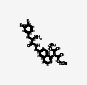 CC(C)(C)OC(=O)N(C(=O)OC(C)(C)C)c1nccc2cc(CNC(=O)C(N)Cc3ccc(F)c(F)c3)ccc12